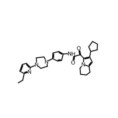 CCc1cccc(N2CCN(c3ccc(NC(=O)C(=O)c4c(C5CCCC5)cc5n4CCCC5)cc3)CC2)n1